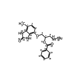 Cc1ccc(OCC(CNC(C)(C)C)OC(=O)c2ccccc2)c2[nH]c(=O)[nH]c12